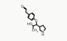 CC(O)C(Oc1ccc(CC=O)cc1)C1CCNC1